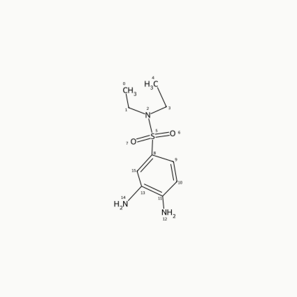 CCN(CC)S(=O)(=O)c1ccc(N)c(N)c1